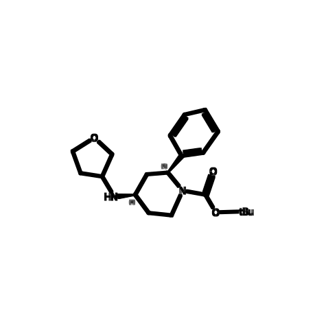 CC(C)(C)OC(=O)N1CC[C@@H](NC2CCOC2)C[C@H]1c1ccccc1